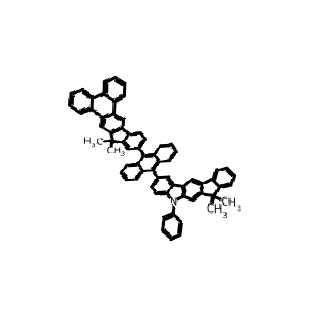 CC1(C)c2cc(-c3c4ccccc4c(-c4ccc5c(c4)c4cc6c(cc4n5-c4ccccc4)C(C)(C)c4ccccc4-6)c4ccccc34)ccc2-c2cc3c4ccccc4c4ccccc4c3cc21